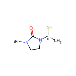 CC(C)N1CCN([C@@H](C)S)C1=O